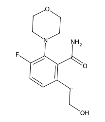 NC(=O)c1c([CH]CO)ccc(F)c1N1CCOCC1